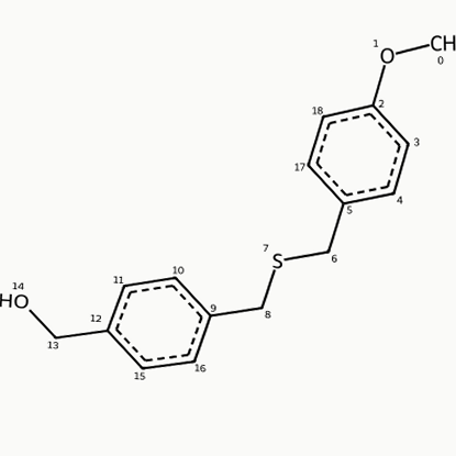 COc1ccc(CSCc2ccc(CO)cc2)cc1